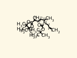 C=CCN(C(=O)OC(C)(C)C)C(C)CCC(=C)B1OC(C)(C)C(C)(C)O1